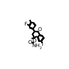 Cc1ccc(C(CC(C)(C)OC(N)=O)C(=O)c2ccc(I)cc2)cc1F